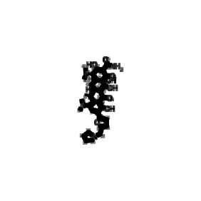 C[C@@H]1c2c(N(C)C)cc(-c3ccc(CN4CCCC4)o3)c(O)c2C(=O)C2=C(O)[C@]3(O)C(=O)C(C(N)=O)=C(O)[C@H](N(C)C)[C@@H]3C[C@@H]21